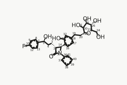 O=C1[C@H](CC[C@H](O)c2ccc(F)cc2)[C@@H](c2ccc(CC[C@@H]3OC(CO)[C@@H](O)[C@H](O)C3O)cc2O)N1c1ccccc1